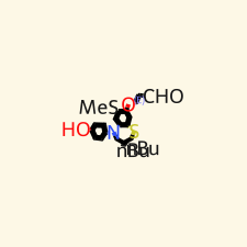 CCCCC1(CCCC)CSc2cc(O/C=C/C=O)c(SC)cc2N(c2ccc(O)cc2)C1